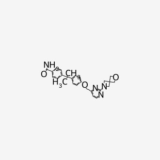 CC(C)(c1ccc(OCc2ccnc(N3CC4(COC4)C3)n2)cc1)c1ccc(C(N)=O)cc1